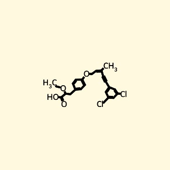 CCOC(Cc1ccc(OCC=C(C)C#Cc2cc(Cl)cc(Cl)c2)cc1)C(=O)O